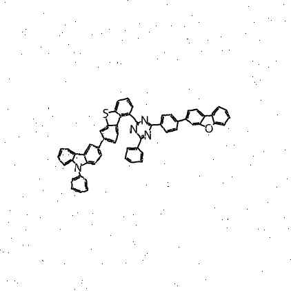 c1ccc(-c2nc(-c3ccc(-c4ccc5c(c4)oc4ccccc45)cc3)nc(-c3cccc4sc5cc(-c6ccc7c(c6)c6ccccc6n7-c6ccccc6)ccc5c34)n2)cc1